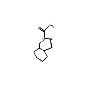 NC(=O)[C@@H]1CC2CCCCC2CN1